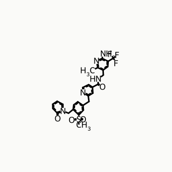 Cc1nc(N)c(C(F)(F)F)cc1CNC(=O)c1ccnc(Cc2ccc(Cn3ccccc3=O)c(S(C)(=O)=O)c2)c1